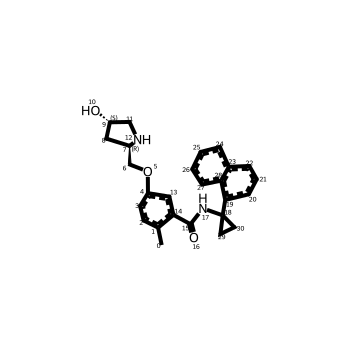 Cc1ccc(OC[C@H]2C[C@H](O)CN2)cc1C(=O)NC1(c2cccc3ccccc23)CC1